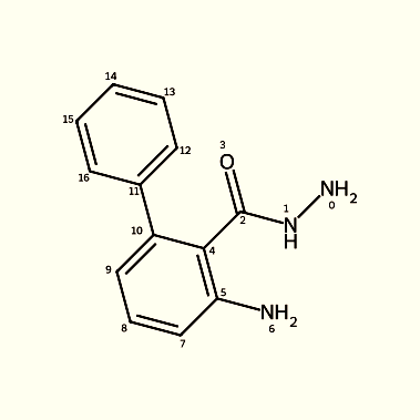 NNC(=O)c1c(N)cccc1-c1ccccc1